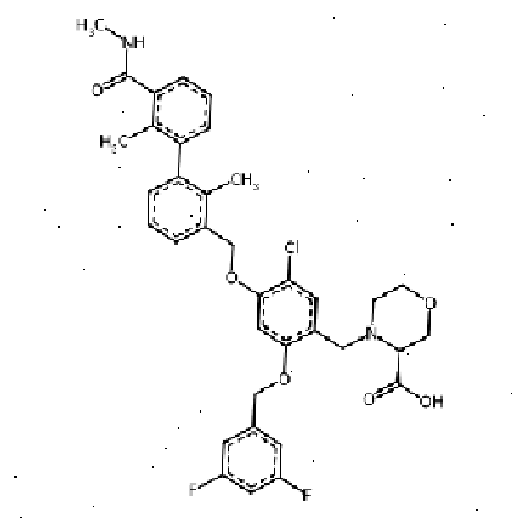 CNC(=O)c1cccc(-c2cccc(COc3cc(OCc4cc(F)cc(F)c4)c(CN4CCOC[C@H]4C(=O)O)cc3Cl)c2C)c1C